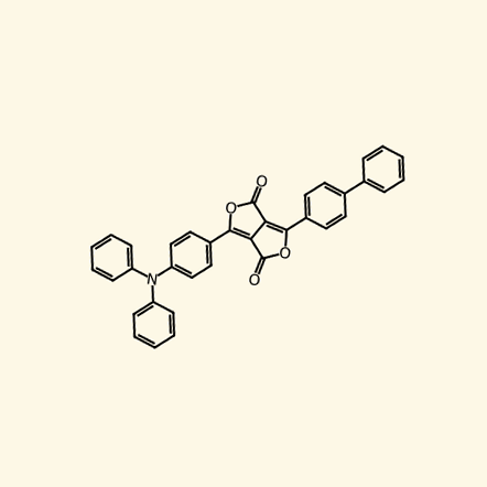 O=C1OC(c2ccc(N(c3ccccc3)c3ccccc3)cc2)=C2C(=O)OC(c3ccc(-c4ccccc4)cc3)=C12